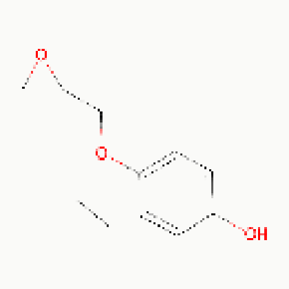 CC.Oc1ccc(OCC2CO2)cc1